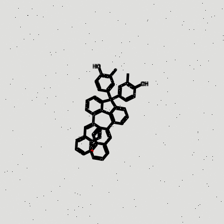 Cc1cc(C2(c3ccc(O)c(C)c3)c3cccc(-c4ccc5ccccc5c4)c3-c3c(-c4ccc5ccccc5c4)cccc32)ccc1O